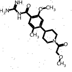 COCC(=O)N1CCC(c2cc(OC)c(C(=O)NC(=N)N)cc2C)CC1